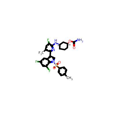 Cc1ccc(S(=O)(=O)n2cc(-c3nc(N[C@@H]4CCC[C@H](OC(N)=O)C4)c(F)cc3C(F)(F)F)c3cc(F)cc(F)c32)cc1